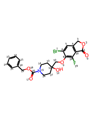 O=C1OCc2cc(Br)c(OCC3(O)CCN(C(=O)OCc4ccccc4)CC3)c(F)c21